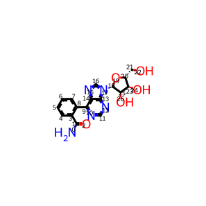 NC(=O)c1ccccc1-c1ncnc2c1ncn2[C@@H]1O[C@H](CO)[C@@H](O)[C@H]1O